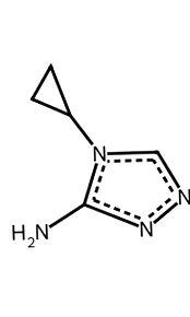 Nc1nncn1C1CC1